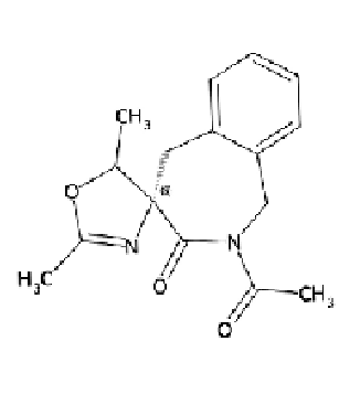 CC(=O)N1Cc2ccccc2C[C@@]2(N=C(C)OC2C)C1=O